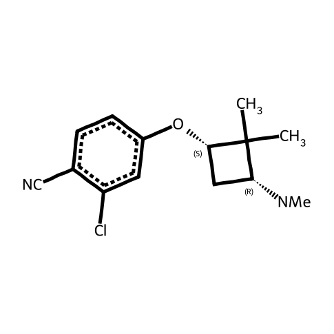 CN[C@@H]1C[C@H](Oc2ccc(C#N)c(Cl)c2)C1(C)C